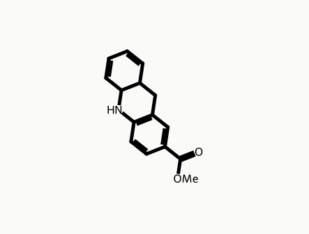 COC(=O)c1ccc2c(c1)CC1C=CC=CC1N2